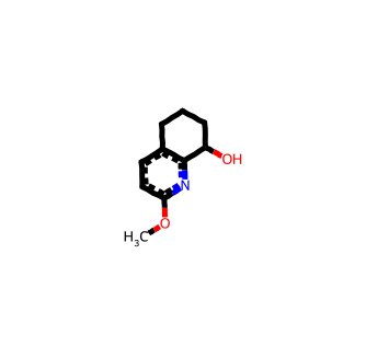 COc1ccc2c(n1)C(O)CCC2